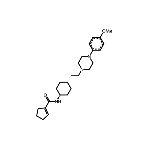 COc1ccc(N2CCN(CC[C@H]3CC[C@H](NC(=O)C4=CCCC4)CC3)CC2)cc1